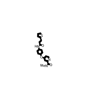 CNC(=O)c1cc(Oc2ccc(NC(=O)/C=C/c3cccs3)cc2)ccn1